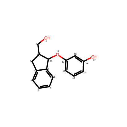 OCC1Cc2ccccc2C1Oc1cccc(O)c1